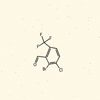 O=Cc1c(C(F)(F)F)ccc(Cl)c1Br